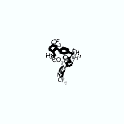 C[C@@H](NC(=O)c1cc(N2CCn3nc(C(F)(F)F)cc3C2)ccn1)c1ccc(-c2cc(C(F)(F)F)ccc2CNC(=O)O)cc1